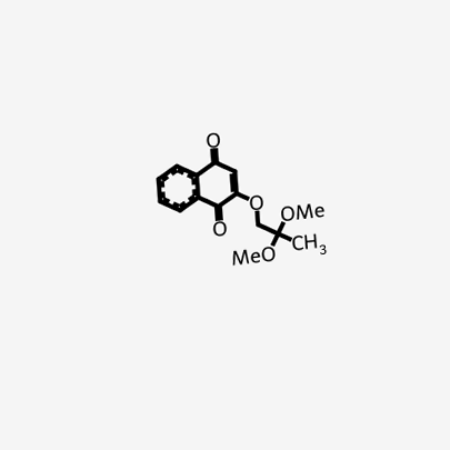 COC(C)(COC1=CC(=O)c2ccccc2C1=O)OC